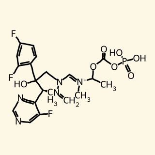 C=NN(/C=[N+](\C)C(C)OC(=O)OP(=O)(O)O)CC(O)(c1ccc(F)cc1F)[C@@H](C)c1ncncc1F